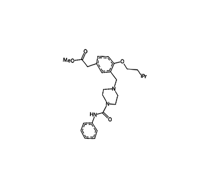 COC(=O)Cc1ccc(OCCC(C)C)c(CN2CCN(C(=O)Nc3ccccc3)CC2)c1